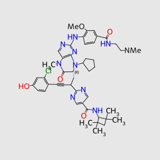 CNCCNC(=O)c1ccc(Nc2ncc3c(n2)N(C2CCCC2)[C@H](CC(C#Cc2ccc(O)cc2Cl)c2ncc(C(=O)NC4C(C)(C)CC4(C)C)cn2)C(=O)N3C)c(OC)c1